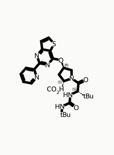 CC(C)(C)NC(=O)N[C@H](C(=O)N1C[C@H](Oc2nc(-c3ccccn3)nc3ccsc23)C[C@H]1C(=O)O)C(C)(C)C